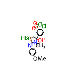 Br.COc1ccc(/N=C2/SCC(O)(c3ccc(Cl)c(S(=O)(=O)Cl)c3)N2C)cc1